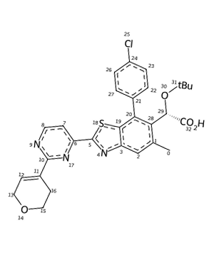 Cc1cc2nc(-c3ccnc(C4=CCOCC4)n3)sc2c(-c2ccc(Cl)cc2)c1[C@H](OC(C)(C)C)C(=O)O